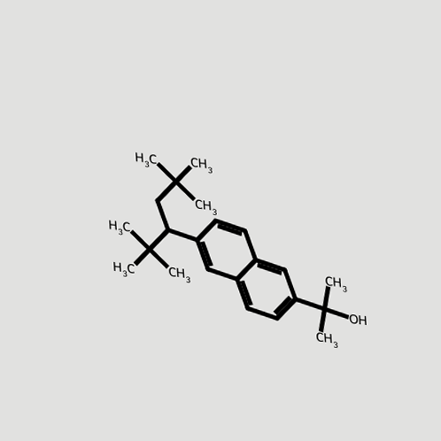 CC(C)(C)CC(c1ccc2cc(C(C)(C)O)ccc2c1)C(C)(C)C